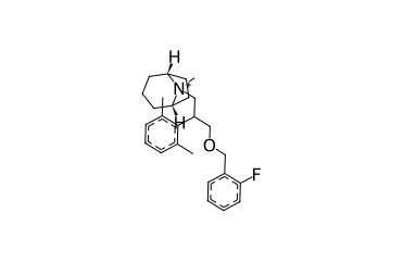 Cc1cccc(C)c1C(COCc1ccccc1F)C[N+]1(C)[C@@H]2CCC[C@H]1CC2